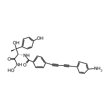 C[C@@](O)(c1ccc(O)cc1)[C@H](NC(=O)c1ccc(C#CC#Cc2ccc(N)cc2)cc1)C(=O)NO